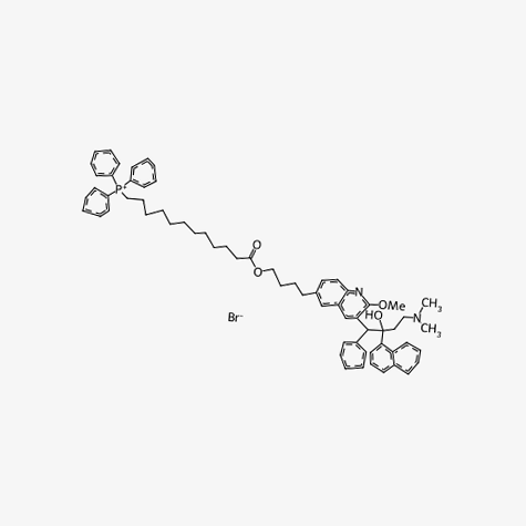 COc1nc2ccc(CCCCOC(=O)CCCCCCCCCCC[P+](c3ccccc3)(c3ccccc3)c3ccccc3)cc2cc1C(c1ccccc1)C(O)(CCN(C)C)c1cccc2ccccc12.[Br-]